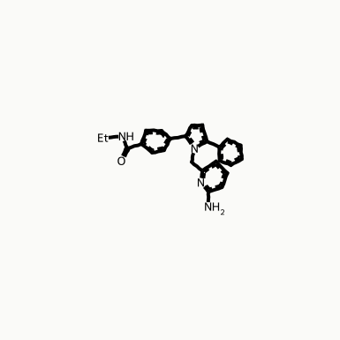 CCNC(=O)c1ccc(-c2ccc(-c3ccccc3)n2Cc2cccc(N)n2)cc1